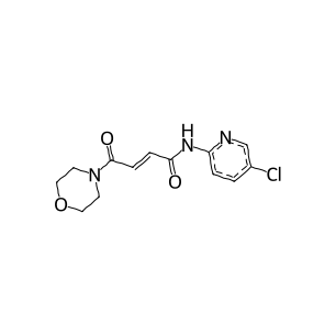 O=C(C=CC(=O)N1CCOCC1)Nc1ccc(Cl)cn1